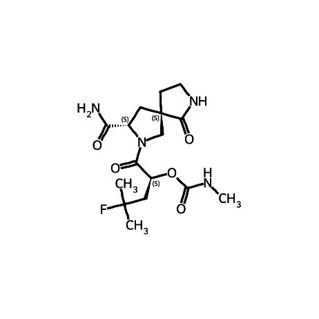 CNC(=O)O[C@@H](CC(C)(C)F)C(=O)N1C[C@]2(CCNC2=O)C[C@H]1C(N)=O